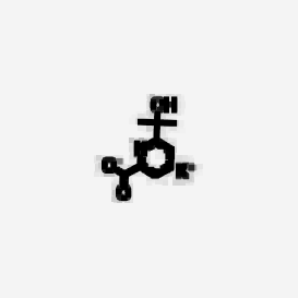 CC(C)(O)c1cccc(C(=O)[O-])n1.[K+]